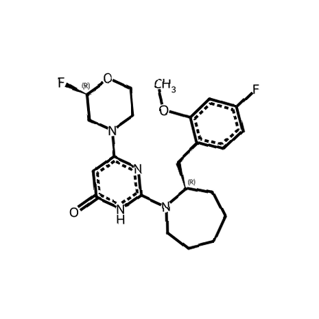 COc1cc(F)ccc1C[C@H]1CCCCCN1c1nc(N2CCO[C@H](F)C2)cc(=O)[nH]1